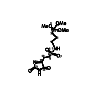 CO[Si](CCCNS(=O)(=O)CCC1=NC(=O)NC1=O)(OC)OC